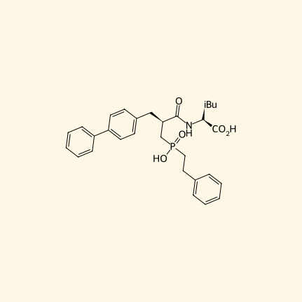 CC[C@H](C)[C@H](NC(=O)[C@H](Cc1ccc(-c2ccccc2)cc1)CP(=O)(O)CCc1ccccc1)C(=O)O